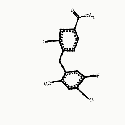 CCc1cc(O)c(Cc2ccc(C(N)=O)cc2F)cc1F